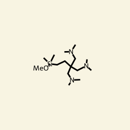 CO[Si](C)(C)CCC(CN(C)C)(CN(C)C)CN(C)C